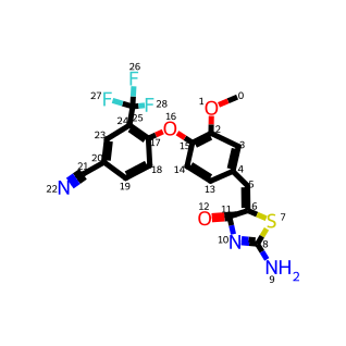 COc1cc(/C=C2/SC(N)=NC2=O)ccc1Oc1ccc(C#N)cc1C(F)(F)F